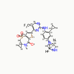 CN1C(=O)c2sc(-c3nc(Nc4ccc(N5C[C@H]6C[C@@H]5CN6)cc4C4CC4)ncc3C(F)(F)F)cc2S(=O)(=O)CC12CC2